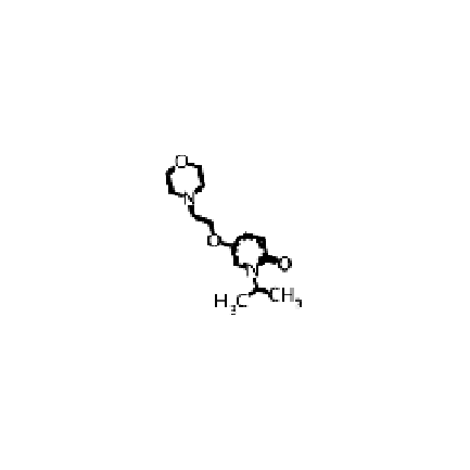 CC(C)n1cc(OCCN2CCOCC2)ccc1=O